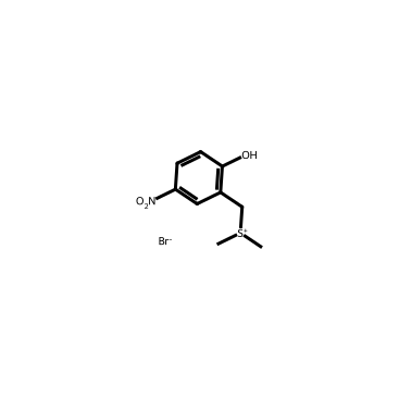 C[S+](C)Cc1cc([N+](=O)[O-])ccc1O.[Br-]